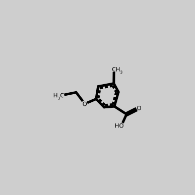 CCOc1cc(C)cc(C(=O)O)c1